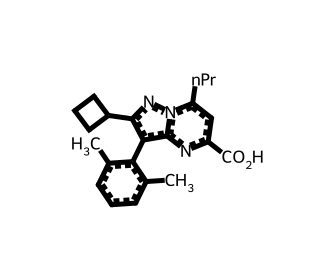 CCCc1cc(C(=O)O)nc2c(-c3c(C)cccc3C)c(C3CCC3)nn12